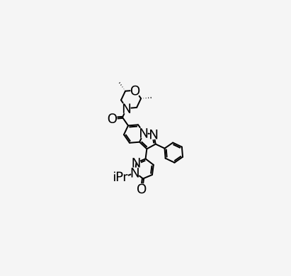 CC(C)n1nc(-c2c(-c3ccccc3)nn3cc(C(=O)N4C[C@@H](C)O[C@@H](C)C4)ccc23)ccc1=O